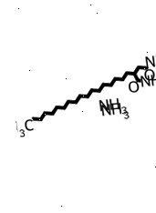 CCCCCCCCCCCCCCCCCCC(CC(N)=O)C(N)=O.N.N